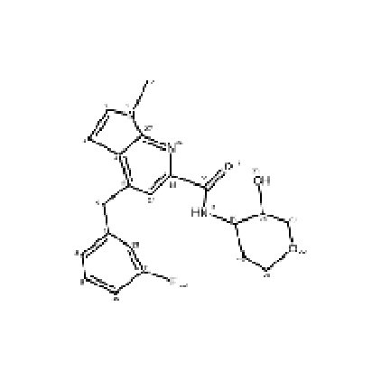 Cn1ccc2c(Cc3cccc(F)c3)cc(C(=O)NC3CCOCC3O)nc21